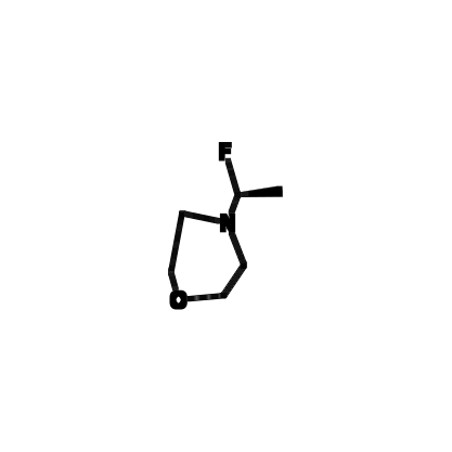 C[C@H](F)N1CCOCC1